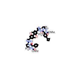 COC(=O)N[C@@H](C(=O)N1[C@@H](C)CC[C@H]1c1ncc(-c2cc3c4c(c2)OCc2cc(-c5cnc([C@@H]6CC[C@H](C)N6C(=O)[C@H](NC(=O)OC)[C@@]6(C)C=CC(C7CCC7)=CC6)[nH]5)cc(c2-4)OC3)[nH]1)c1ccccc1